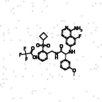 COc1cccc(C(Nc2cc(F)c3c(N)nccc3c2)C(=O)NCc2ccccc2S(=O)(=O)C2CCC2)c1.O=C(O)C(F)(F)F